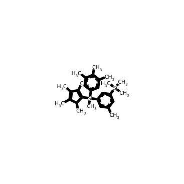 CC1=C(C)C(C)C([Si](C)(c2cc(C)cc([Si](C)(C)C)c2)c2cc(C)c(C)c(C)c2)=C1C